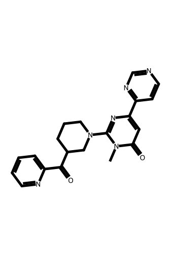 Cn1c(N2CCCC(C(=O)c3ccccn3)C2)nc(-c2ccncn2)cc1=O